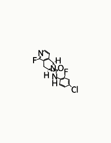 O=C(Nc1ccc(Cl)cc1F)N1[C@H]2CC[C@@H]1c1ccnc(F)c1C2